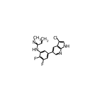 C=C/C(=N\C)Nc1cc(-c2cnc3[nH]cc(Cl)c3c2)cc(F)c1F